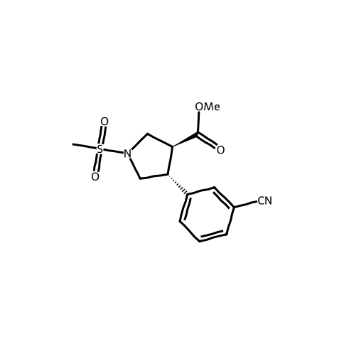 COC(=O)[C@@H]1CN(S(C)(=O)=O)C[C@H]1c1cccc(C#N)c1